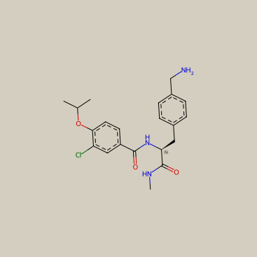 CNC(=O)[C@H](Cc1ccc(CN)cc1)NC(=O)c1ccc(OC(C)C)c(Cl)c1